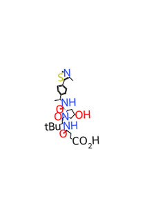 Cc1ncsc1-c1ccc([C@H](C)NC(=O)[C@@H]2C[C@@H](O)CN2C(=O)[C@@H](NC(=O)CCC(=O)O)C(C)(C)C)cc1